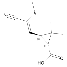 CSC(C#N)=C[C@@H]1[C@@H](C(=O)O)C1(C)C